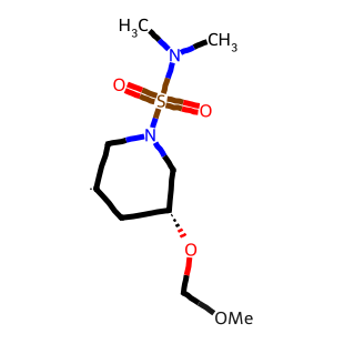 COCO[C@@H]1C[CH]CN(S(=O)(=O)N(C)C)C1